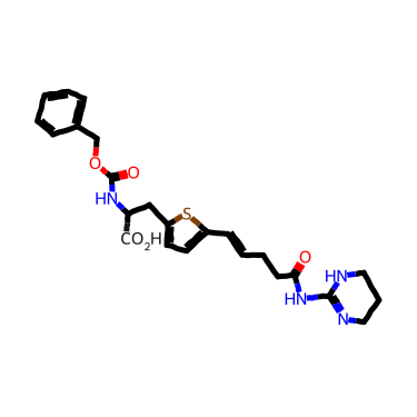 O=C(CC/C=C/c1ccc(CC(NC(=O)OCc2ccccc2)C(=O)O)s1)NC1=NCCCN1